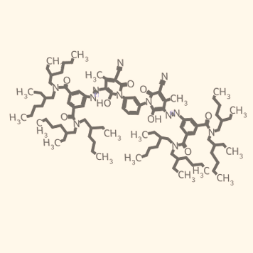 CCCCC(CC)CN(CC(CC)CCCC)C(=O)c1cc(/N=N/c2c(C)c(C#N)c(=O)n(-c3cccc(-n4c(O)c(/N=N/c5cc(C(=O)N(CC(CC)CCCC)CC(CC)CCCC)cc(C(=O)N(CC(CC)CCCC)CC(CC)CCCC)c5)c(C)c(C#N)c4=O)c3)c2O)cc(C(=O)N(CC(CC)CCCC)CC(CC)CCCC)c1